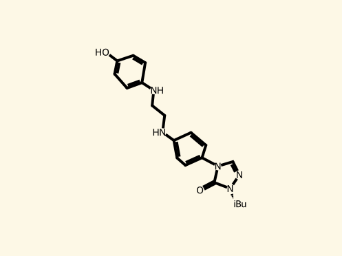 CC[C@@H](C)n1ncn(-c2ccc(NCCNc3ccc(O)cc3)cc2)c1=O